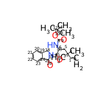 C=CC(C)(C)C[C@H](NC(=O)OC(C)(C)C)C(=O)N1Cc2ccccc2C1=O